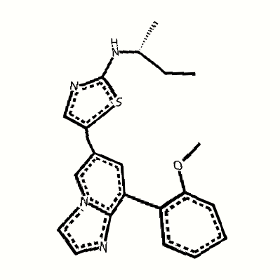 CC[C@@H](C)Nc1ncc(-c2cc(-c3ccccc3OC)c3nccn3c2)s1